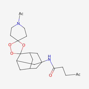 CC(=O)CCC(=O)NC12CC3CC(C1)C1(OOC4(CCN(C(C)=O)CC4)O1)C(C3)C2